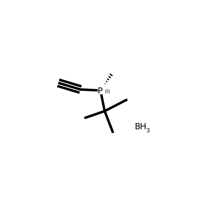 B.C#C[P@](C)C(C)(C)C